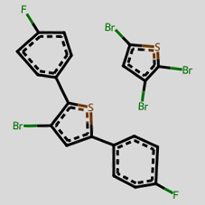 Brc1cc(Br)c(Br)s1.Fc1ccc(-c2cc(Br)c(-c3ccc(F)cc3)s2)cc1